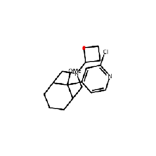 COC1(c2ccnc(Cl)c2)C2CCCC1CN(C13CC(C1)C3)C2